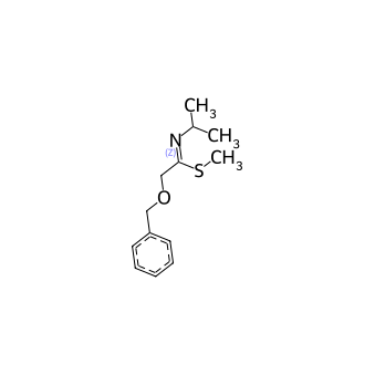 CS/C(COCc1ccccc1)=N\C(C)C